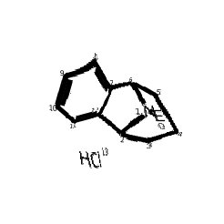 CCN1C2CCCC1c1ccccc12.Cl